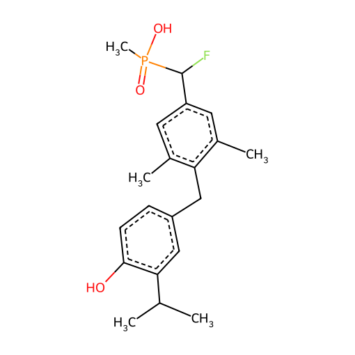 Cc1cc(C(F)P(C)(=O)O)cc(C)c1Cc1ccc(O)c(C(C)C)c1